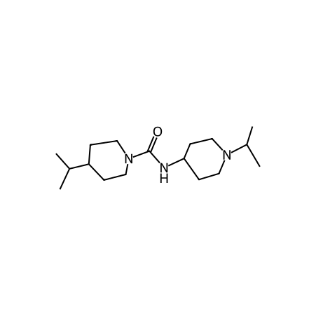 CC(C)C1CCN(C(=O)NC2CCN(C(C)C)CC2)CC1